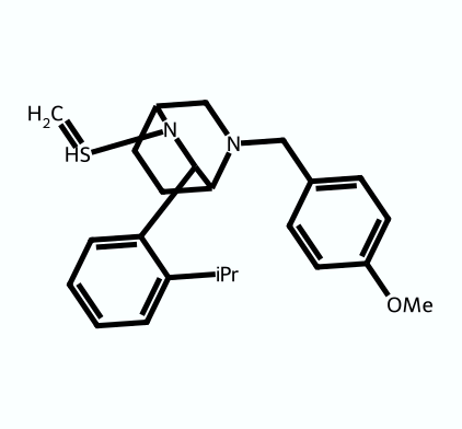 C=[SH]N1C2CCC(C1c1ccccc1C(C)C)N(Cc1ccc(OC)cc1)C2